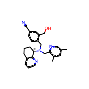 Cc1cnc(CN(Cc2ccc(C#N)cc2CO)[C@@H]2CCCc3cccnc32)c(C)c1